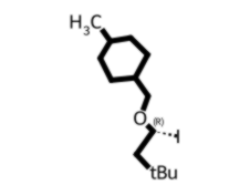 CC1CCC(CO[C@H](I)CC(C)(C)C)CC1